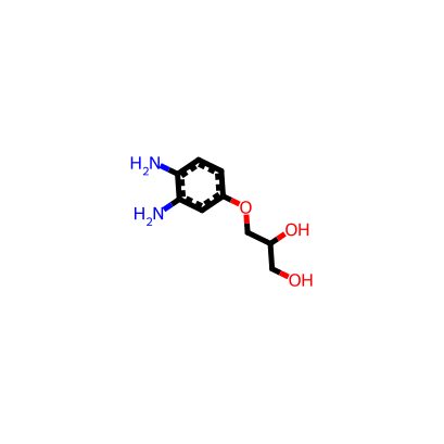 Nc1ccc(OCC(O)CO)cc1N